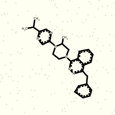 CC(C)c1cnc(N2CCN(c3nnc(Cc4ccccc4)c4ccccc34)CC2C)cn1